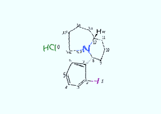 Cl.Ic1ccccc1[C@H]1CCC[C@H]2CCCCN21